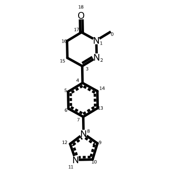 CN1N=C(c2ccc(-n3ccnc3)cc2)CCC1=O